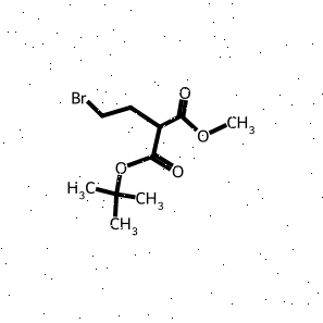 COC(=O)C(CCBr)C(=O)OC(C)(C)C